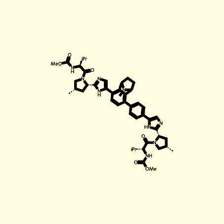 COC(=O)N[C@H](C(=O)N1C[C@@H](C)C[C@H]1c1ncc(-c2ccc(-c3ccc(-c4cnc([C@@H]5C[C@H](C)CN5C(=O)[C@H](NC(=O)OC)C(C)C)[nH]4)cc3)c3c2C2CCC3N2C)[nH]1)C(C)C